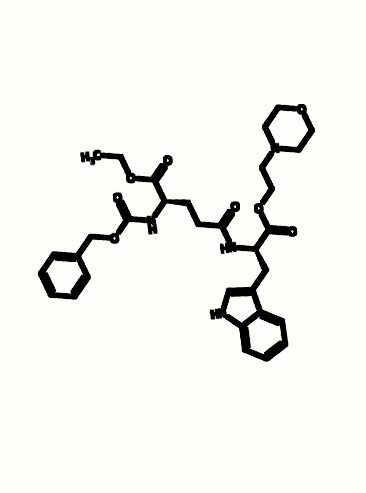 CCOC(=O)[C@@H](CCC(=O)N[C@H](Cc1c[nH]c2ccccc12)C(=O)OCCN1CCOCC1)NC(=O)OCc1ccccc1